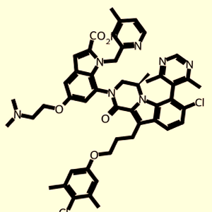 Cc1ccnc(Cn2c(C(=O)O)cc3cc(OCCN(C)C)cc(N4C[C@@H](C)n5c(c(CCCOc6cc(C)c(Cl)c(C)c6)c6ccc(Cl)c(-c7c(C)ncnc7C)c65)C4=O)c32)c1